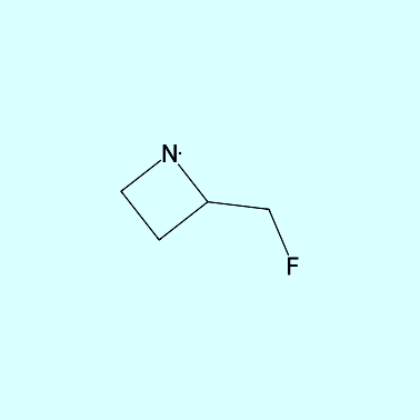 FCC1CC[N]1